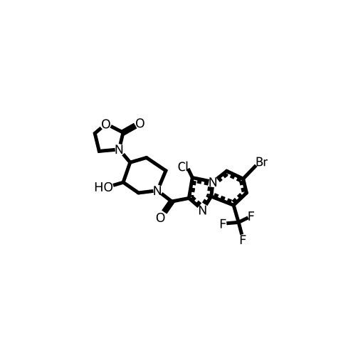 O=C(c1nc2c(C(F)(F)F)cc(Br)cn2c1Cl)N1CCC(N2CCOC2=O)C(O)C1